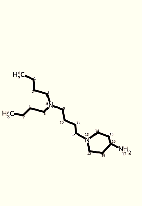 CCCCN(CCCC)CCCCN1CCC(N)CC1